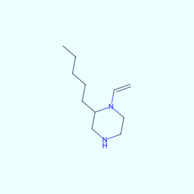 C=CN1CCNCC1CCCCC